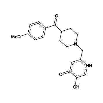 COc1ccc(C(=O)C2CCN(Cc3cc(=O)c(O)c[nH]3)CC2)cc1